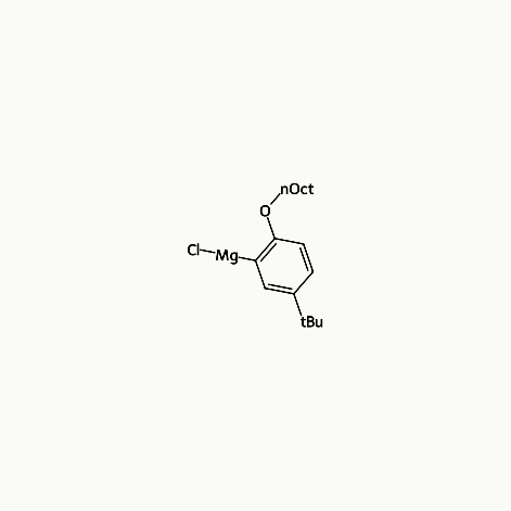 CCCCCCCCOc1ccc(C(C)(C)C)c[c]1[Mg][Cl]